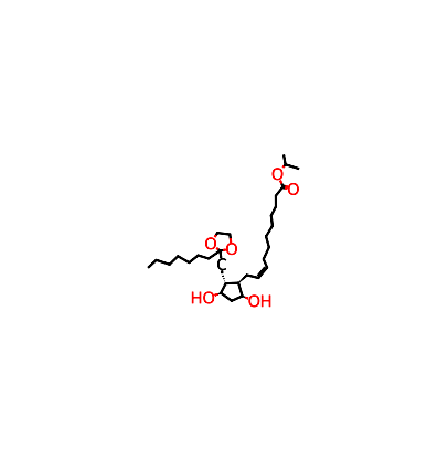 CCCCCCCC1(CC[C@@H]2[C@@H](C/C=C\CCCCCCCC(=O)OC(C)C)[C@@H](O)C[C@H]2O)OCCO1